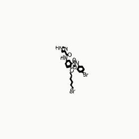 CN(c1ccc(Br)cc1)S(=O)(=O)c1cc(NC(=O)c2c[nH]cn2)ccc1OCCCCCCBr